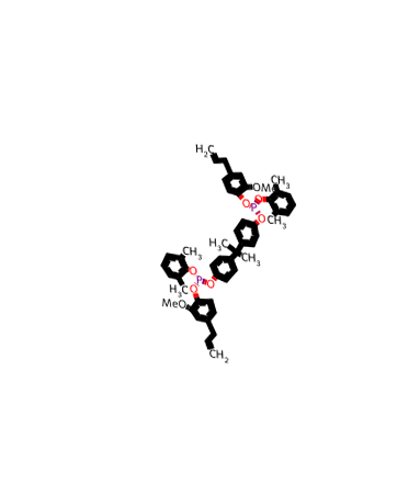 C=CCc1ccc(OP(Oc2ccc(C(C)(C)c3ccc(OP(Oc4ccc(CC=C)cc4OC)Oc4c(C)cccc4C)cc3)cc2)Oc2c(C)cccc2C)c(OC)c1